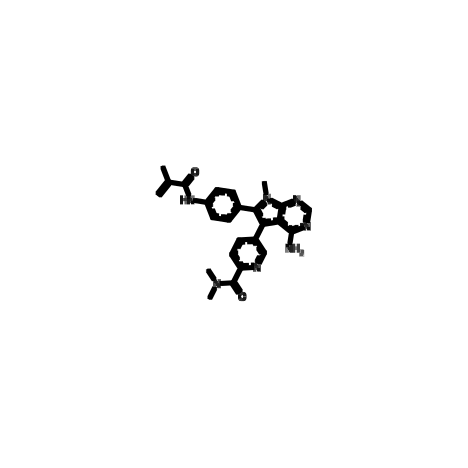 C=C(C)C(=O)Nc1ccc(-c2c(-c3ccc(C(=O)N(C)C)nc3)c3c(N)ncnc3n2C)cc1